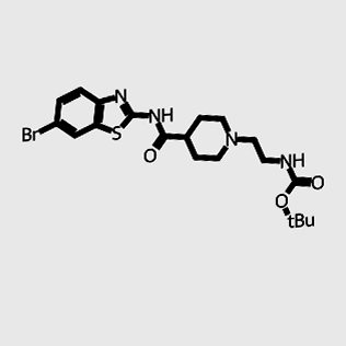 CC(C)(C)OC(=O)NCCN1CCC(C(=O)Nc2nc3ccc(Br)cc3s2)CC1